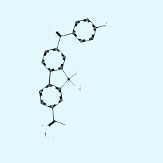 CCCC1(CCC)c2cc(C(=O)c3ccc([N+](=O)[O-])cc3)ccc2-c2ccc(/C(=N/OC(C)=O)C(C)C)cc21